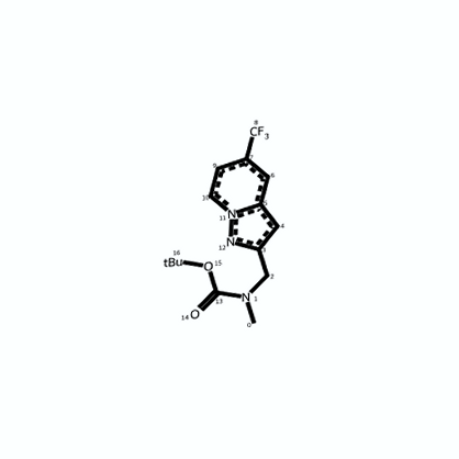 CN(Cc1cc2cc(C(F)(F)F)ccn2n1)C(=O)OC(C)(C)C